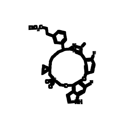 CCOC(=O)CCc1cccc(C2CCCC3(CC3)CS(=O)(=O)CCc3c(c(F)cc4[nH]ccc34)Oc3ccc(F)c(c3)-c3nc2nn3C)c1